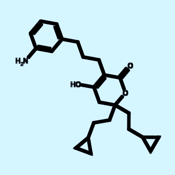 Nc1cccc(CCCC2=C(O)CC(CCC3CC3)(CCC3CC3)OC2=O)c1